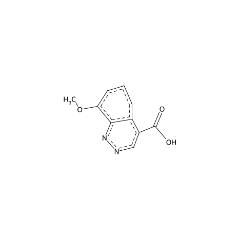 COc1cccc2c(C(=O)O)cnnc12